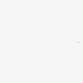 CCOC(=O)c1cc(NC(=O)/C=C/c2ccco2)ccc1N1CCOCC1